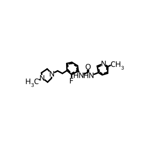 Cc1ccc(NC(=O)Nc2cccc(CCN3CCN(C)CC3)c2F)cn1